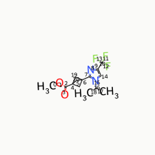 COC(=O)C12CC(c3nc(C(F)(F)F)cn3C(C)C)(C1)C2